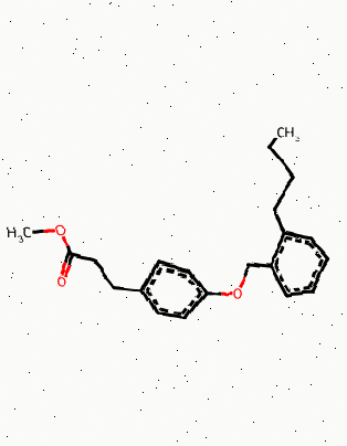 CCCCc1ccccc1COc1ccc(CCC(=O)OC)cc1